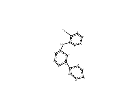 Fc1ccccc1Nc1cccc(-c2ccccc2)c1